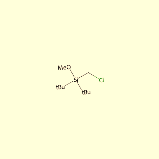 CO[Si](CCl)(C(C)(C)C)C(C)(C)C